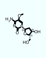 COc1cn([C@H]2C[C@@H](O)[C@H](CO)O2)c(=O)nc1N